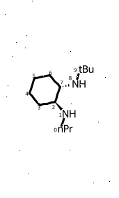 CCCN[C@H]1CCCC[C@@H]1NC(C)(C)C